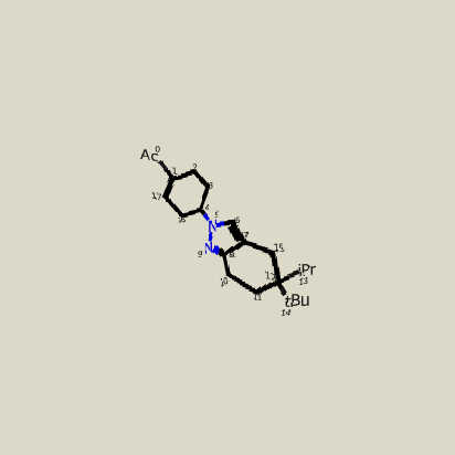 CC(=O)C1CCC(n2cc3c(n2)CCC(C(C)C)(C(C)(C)C)C3)CC1